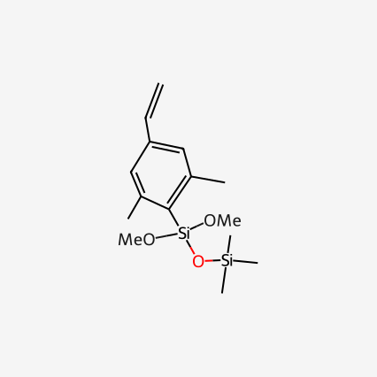 C=Cc1cc(C)c([Si](OC)(OC)O[Si](C)(C)C)c(C)c1